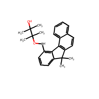 CC1(C)c2cccc(BOC(C)(C)C(C)(C)O)c2-c2c1ccc1ccccc21